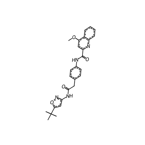 COc1cc(C(=O)Nc2ccc(CC(=O)Nc3cc(C(C)(C)C)on3)cc2)nc2ccccc12